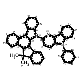 CC1(C)c2ccccc2-c2c1c1ccccc1c1c3ccccc3n(-c3ccc4c(n3)c3ccccc3n4-c3ccccc3)c21